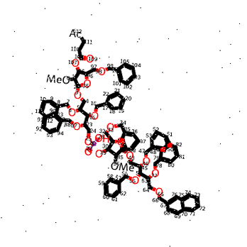 COC1C(OCC(OCc2ccccc2)C(OCc2ccccc2)C(COP(=O)(O)OC2C(COCc3ccccc3)OC(OCC(OCc3ccccc3)C(OCc3ccccc3)C(COCc3ccc4ccccc4c3)OCc3ccccc3)C2OC)OCc2ccccc2)OC(COCc2ccccc2)C1OC(=O)CCC(C)=O